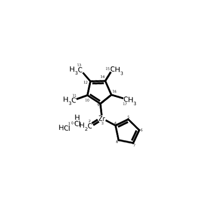 Cl.Cl.[CH2]=[Zr]([C]1=CC=CC1)[C]1=C(C)C(C)=C(C)C1C